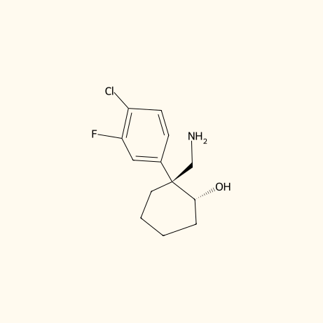 NC[C@]1(c2ccc(Cl)c(F)c2)CCCC[C@H]1O